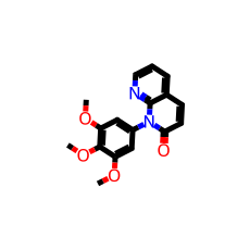 COc1cc(-n2c(=O)ccc3cccnc32)cc(OC)c1OC